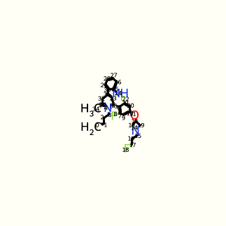 C=CCCN1[C@H](c2c(F)cc(OC3CN(CCCF)C3)cc2F)c2[nH]c3ccccc3c2C[C@H]1C